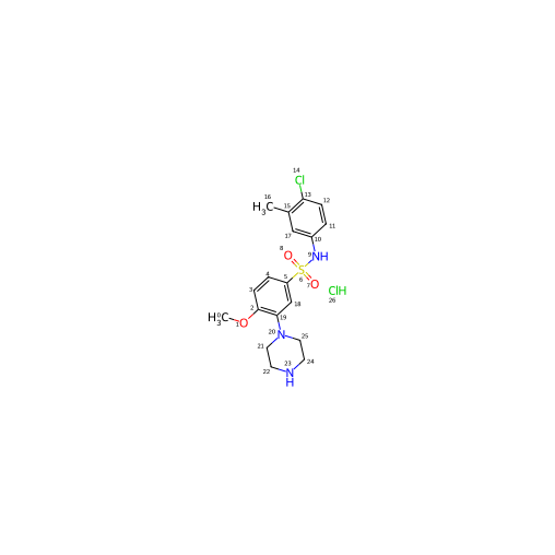 COc1ccc(S(=O)(=O)Nc2ccc(Cl)c(C)c2)cc1N1CCNCC1.Cl